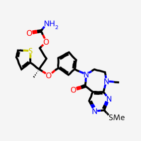 CSc1ncc2c(n1)N(C)CCN(c1cccc(O[C@](C)(CCOC(N)=O)c3cccs3)c1)C2=O